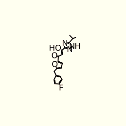 CC(C)c1nc(C(O)=CC(=O)c2ccc(Cc3ccc(F)cc3)o2)n[nH]1